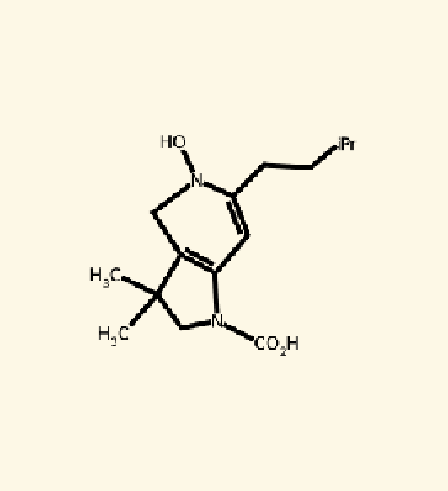 CC(C)CCC1=CC2=C(CN1O)C(C)(C)CN2C(=O)O